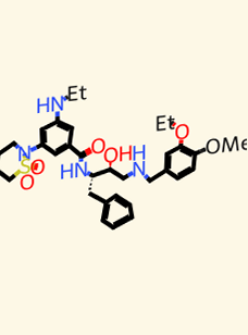 CCNc1cc(C(=O)N[C@@H](Cc2ccccc2)[C@H](O)CNCc2ccc(OC)c(OCC)c2)cc(N2CCCCS2(=O)=O)c1